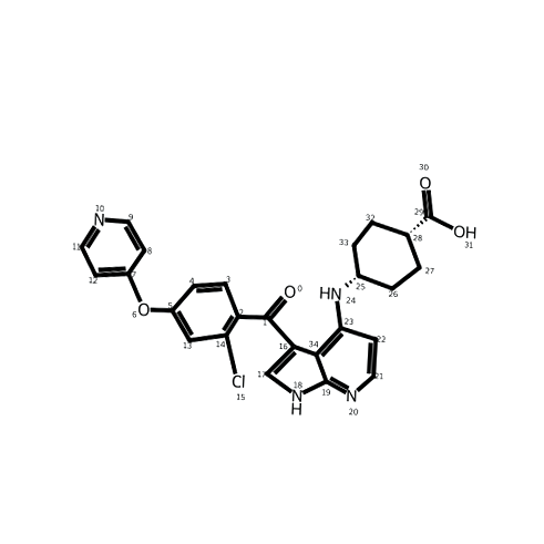 O=C(c1ccc(Oc2ccncc2)cc1Cl)c1c[nH]c2nccc(N[C@H]3CC[C@@H](C(=O)O)CC3)c12